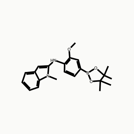 COc1cc(B2OC(C)(C)C(C)(C)O2)ccc1Nc1cc2ccccc2n1C